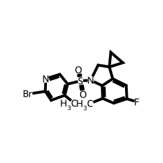 Cc1cc(Br)ncc1S(=O)(=O)N1CC2(CC2)c2cc(F)cc(C)c21